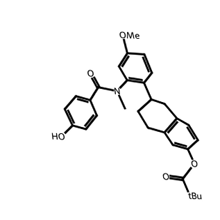 COc1ccc(C2CCc3cc(OC(=O)C(C)(C)C)ccc3C2)c(N(C)C(=O)c2ccc(O)cc2)c1